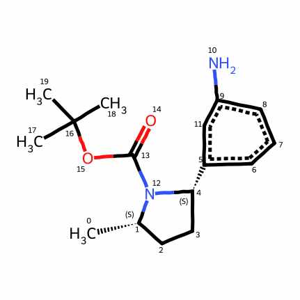 C[C@H]1CC[C@@H](c2cccc(N)c2)N1C(=O)OC(C)(C)C